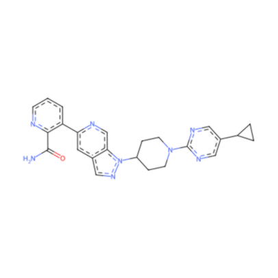 NC(=O)c1ncccc1-c1cc2cnn(C3CCN(c4ncc(C5CC5)cn4)CC3)c2cn1